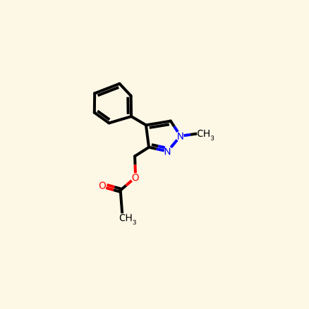 CC(=O)OCc1nn(C)cc1-c1ccccc1